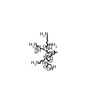 CC(C)C[C@H](NC(=O)[C@H](CCCNC(=N)N)NC(=O)[C@@H](N)CCCCN)C(=O)N[C@@H](CCCCN)C(=O)N[C@@H](CS)C(=O)O